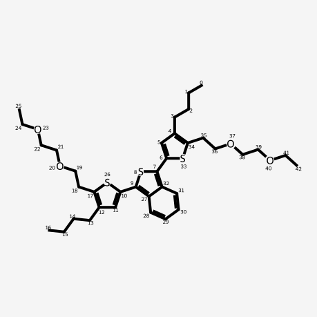 CCCCc1cc(-c2sc(-c3cc(CCCC)c(CCOCCOCC)s3)c3ccccc23)sc1CCOCCOCC